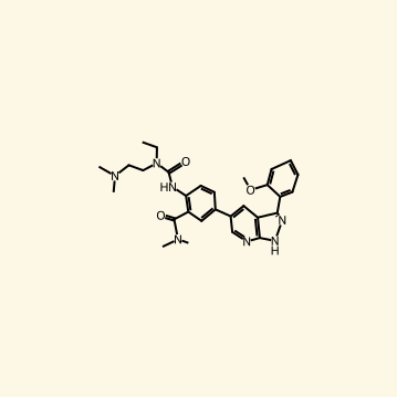 CCN(CCN(C)C)C(=O)Nc1ccc(-c2cnc3[nH]nc(-c4ccccc4OC)c3c2)cc1C(=O)N(C)C